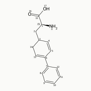 N[C@@H](CC1C=CC(c2ccccc2)=CC1)C(=O)O